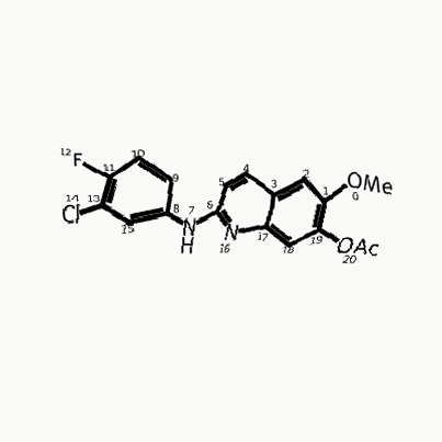 COc1cc2ccc(Nc3ccc(F)c(Cl)c3)nc2cc1OC(C)=O